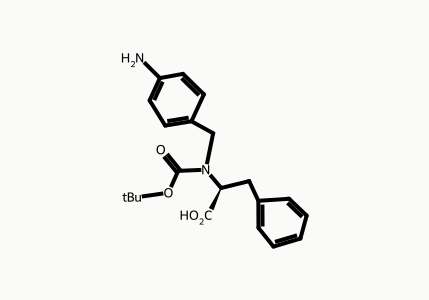 CC(C)(C)OC(=O)N(Cc1ccc(N)cc1)[C@@H](Cc1ccccc1)C(=O)O